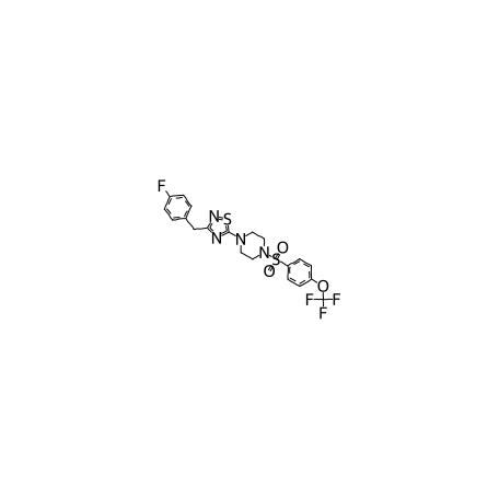 O=S(=O)(c1ccc(OC(F)(F)F)cc1)N1CCN(c2nc(Cc3ccc(F)cc3)ns2)CC1